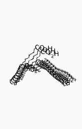 CCCCCCCCCCCCCCCCCC(=O)O.CCCCCCCCCCCCCCCCCC(=O)O.CCCCCCCCCCCCCCCCCC(=O)O.[Ca+2].[Ca+2].[Ca+2].[Ca+2].[Ca+2].[Ca+2].[Ca+2].[Ca+2].[Ca+2].[Ca+2].[Ca+2].[Ca+2].[Ca+2].[Ca+2].[Ca+2].[Ca+2].[Ca+2].[Ca+2].[Ca+2].[Ca+2].[Ca+2].[Ca+2].[Ca+2].[Ca+2].[Ca+2].[Ca+2].[Ca+2]